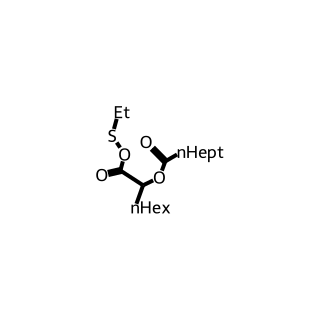 CCCCCCCC(=O)OC(CCCCCC)C(=O)OSCC